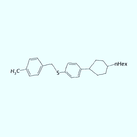 CCCCCCC1CCC(c2ccc(SCc3ccc(C)cc3)cc2)CC1